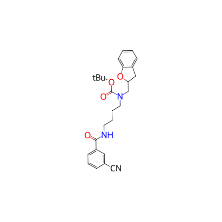 CC(C)(C)OC(=O)N(CCCCNC(=O)c1cccc(C#N)c1)CC1Cc2ccccc2O1